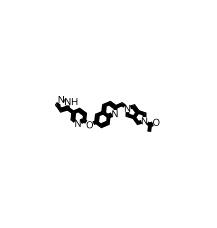 CC(=O)N1CC2=CN(Cc3ccc4cc(Oc5ccc(-c6ccn[nH]6)cn5)ccc4n3)CC2C1